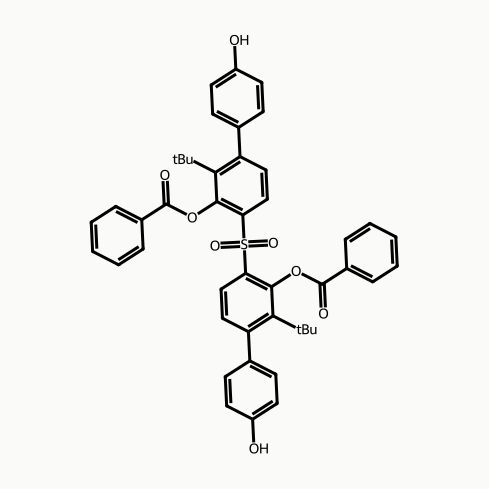 CC(C)(C)c1c(-c2ccc(O)cc2)ccc(S(=O)(=O)c2ccc(-c3ccc(O)cc3)c(C(C)(C)C)c2OC(=O)c2ccccc2)c1OC(=O)c1ccccc1